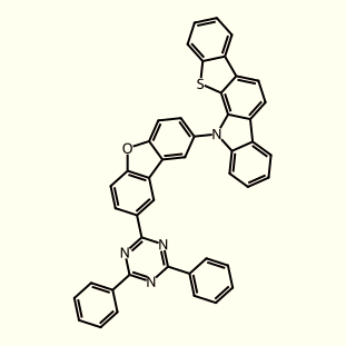 c1ccc(-c2nc(-c3ccccc3)nc(-c3ccc4oc5ccc(-n6c7ccccc7c7ccc8c9ccccc9sc8c76)cc5c4c3)n2)cc1